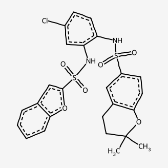 CC1(C)CCc2cc(S(=O)(=O)Nc3ccc(Cl)cc3NS(=O)(=O)c3cc4ccccc4o3)ccc2O1